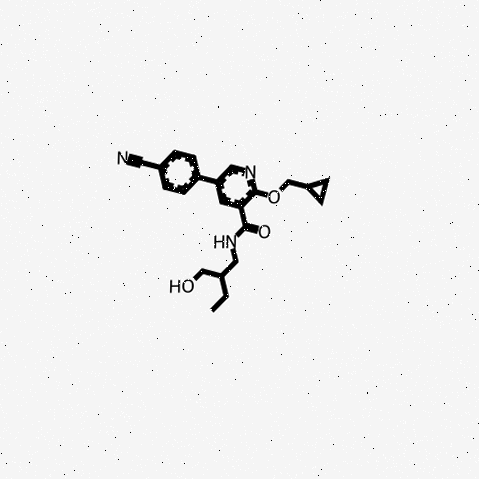 CCC(CO)CNC(=O)c1cc(-c2ccc(C#N)cc2)cnc1OCC1CC1